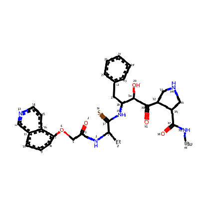 CCC(NC(=O)COc1cccc2cnccc12)C(=S)NC(Cc1ccccc1)C(O)C(=O)C1CNCC1C(=O)NC(C)(C)C